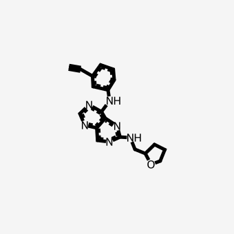 C#Cc1cccc(Nc2ncnc3cnc(NCC4CCCO4)nc23)c1